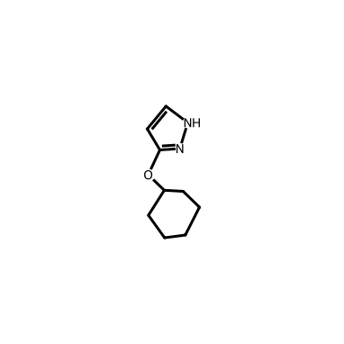 c1cc(OC2CCCCC2)n[nH]1